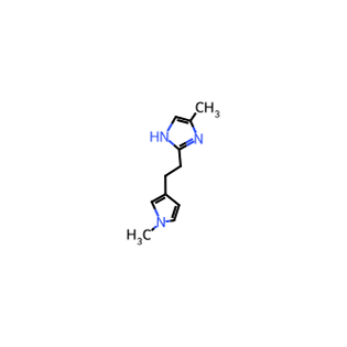 Cc1c[nH]c(CCc2ccn(C)c2)n1